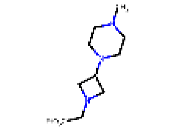 CCOC(=O)CN1CC(N2CCN(C)CC2)C1